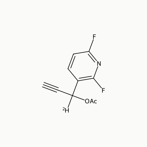 [2H]C(C#C)(OC(C)=O)c1ccc(F)nc1F